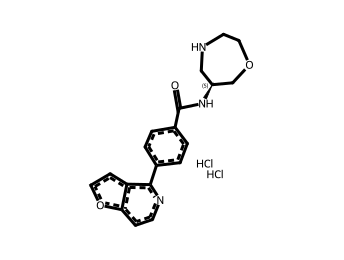 Cl.Cl.O=C(N[C@H]1CNCCOC1)c1ccc(-c2nccc3occc23)cc1